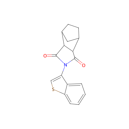 O=C1C2C3CCC(C3)C2C(=O)N1c1csc2ccccc12